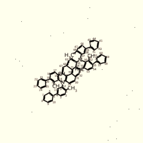 Cc1ccc(-c2ccccc2)cc1N(c1c(C)ccc(-c2ccccc2)c1C)c1ccc2ccc3c(N(c4cc(-c5ccccc5)ccc4C)c4c(C)ccc(-c5ccccc5)c4C)ccc4ccc1c2c43